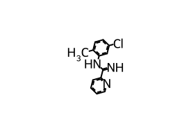 Cc1ccc(Cl)cc1NC(=N)c1ccccn1